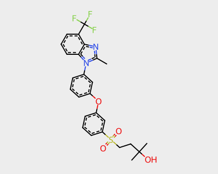 Cc1nc2c(C(F)(F)F)cccc2n1-c1cccc(Oc2cccc(S(=O)(=O)CCC(C)(C)O)c2)c1